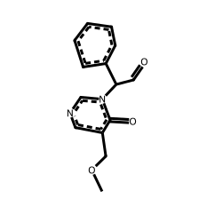 COCc1cncn(C(C=O)c2ccccc2)c1=O